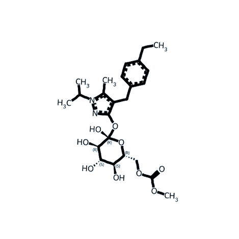 CCc1ccc(Cc2c(O[C@]3(O)O[C@H](COC(=O)OC)[C@@H](O)[C@H](O)[C@H]3O)nn(C(C)C)c2C)cc1